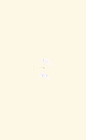 NC(N)(F)F